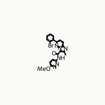 COc1ccc(NC(=O)c2c(C)nc3ccc(-c4ccccc4Br)nn23)nn1